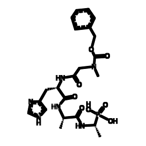 C[C@H](NC(=O)[C@H](Cc1c[nH]cn1)NC(=O)CN(C)C(=O)OCc1ccccc1)C(=O)N[C@@H](C)P(=O)(O)O